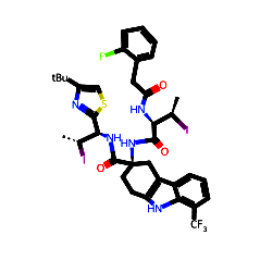 C[C@@H](I)[C@H](NC(=O)Cc1ccccc1F)C(=O)N[C@]1(C(=O)N[C@H](c2nc(C(C)(C)C)cs2)[C@@H](C)I)CCc2[nH]c3c(C(F)(F)F)cccc3c2C1